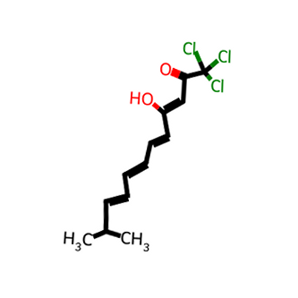 CC(C)C=CC=CC=CC(O)=CC(=O)C(Cl)(Cl)Cl